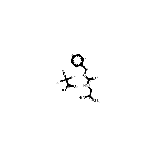 CC(N)CNC(=O)OCc1ccccc1.O=C(O)C(F)(F)F